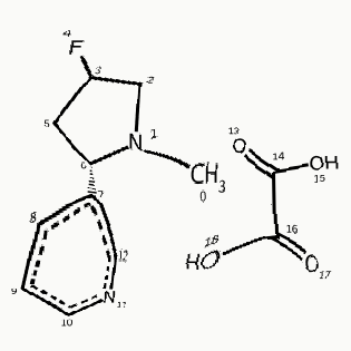 CN1CC(F)C[C@H]1c1cccnc1.O=C(O)C(=O)O